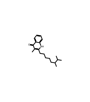 Cc1c(CCCCCC(C)C(C)C)[nH]c2ccccc2c1=O